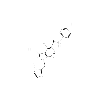 Cc1nn(Cc2nccn2C)c2ncc(C(=O)Nc3ccc(Cl)cc3)c(Cl)c12